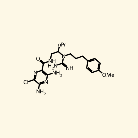 CCCC(CNC(=O)c1nc(Cl)c(N)nc1N)N(CCCc1ccc(OC)cc1)C(=N)N